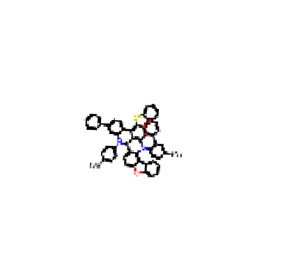 CC(C)(C)c1ccc(N2B3c4ccc5oc6ccccc6c5c4N(c4ccc(C(C)(C)C)cc4-c4ccccc4)c4cc5c(sc6ccccc65)c(c43)-c3ccc(-c4ccccc4)cc32)cc1